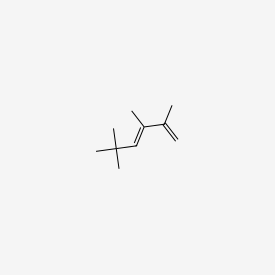 C=C(C)C(C)=CC(C)(C)C